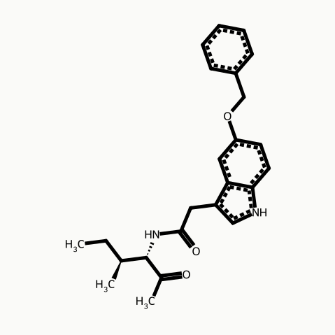 CC[C@H](C)[C@H](NC(=O)Cc1c[nH]c2ccc(OCc3ccccc3)cc12)C(C)=O